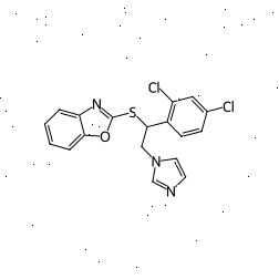 Clc1ccc(C(Cn2ccnc2)Sc2nc3ccccc3o2)c(Cl)c1